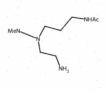 CNN(CCN)CCCNC(C)=O